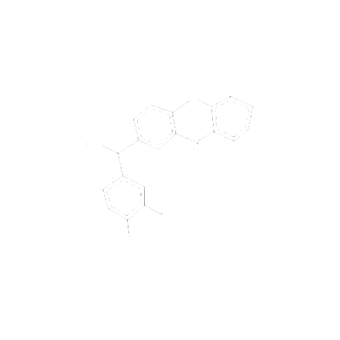 CC(c1ccc(Cl)c(F)c1)c1ccc2c(c1)Nc1ccccc1S2